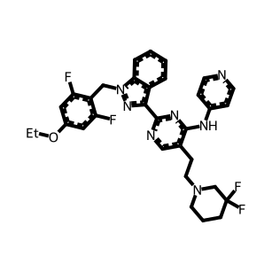 CCOc1cc(F)c(Cn2nc(-c3ncc(CCN4CCCC(F)(F)C4)c(Nc4ccncc4)n3)c3ccccc32)c(F)c1